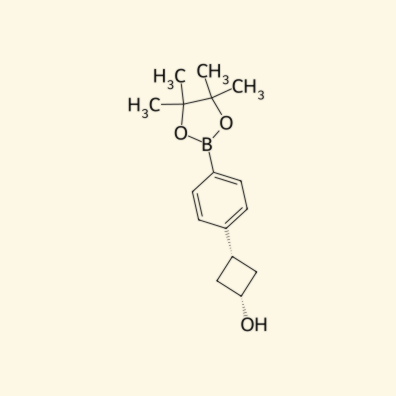 CC1(C)OB(c2ccc([C@H]3C[C@@H](O)C3)cc2)OC1(C)C